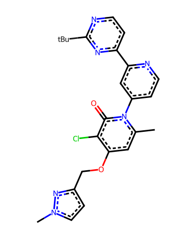 Cc1cc(OCc2ccn(C)n2)c(Cl)c(=O)n1-c1ccnc(-c2ccnc(C(C)(C)C)n2)c1